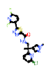 Cn1cc(C(C)(CNC(=O)c2nnc(-c3ccc(F)nc3F)s2)c2cccc(Cl)n2)cn1